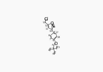 FC(F)(F)COc1ccc(-c2cc(CCl)on2)cc1